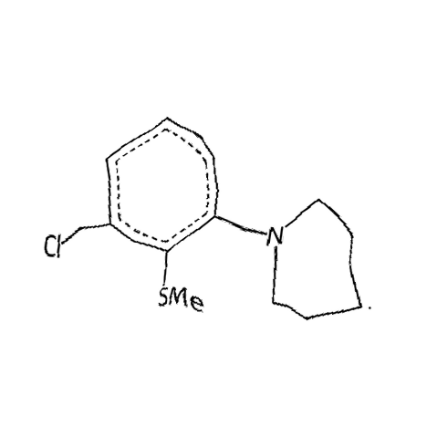 CSc1c(Cl)cccc1N1CC[CH]CC1